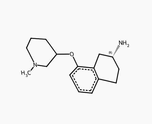 CN1CCCC(Oc2cccc3c2C[C@H](N)CC3)C1